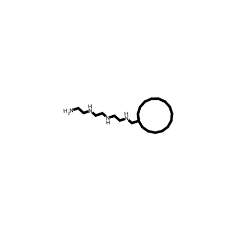 NCCNCCNCCNCC1CCCCCCCCCCCCCC1